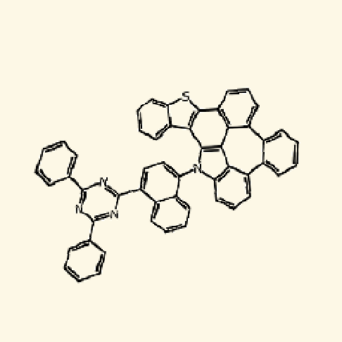 c1ccc(-c2nc(-c3ccccc3)nc(-c3ccc(-n4c5cccc6c5c5c7c(cccc7c7sc8ccccc8c7c54)-c4ccccc4-6)c4ccccc34)n2)cc1